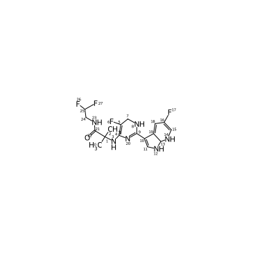 CC(C)(NC1=C(F)CNC(C2=CNC3NC=C(F)C=C23)=N1)C(=O)NCC(F)F